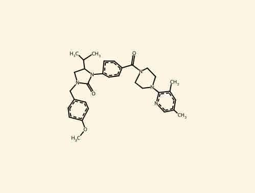 COc1ccc(CN2CC(C(C)C)N(c3ccc(C(=O)N4CCN(c5ncc(C)cc5C)CC4)cc3)C2=O)cc1